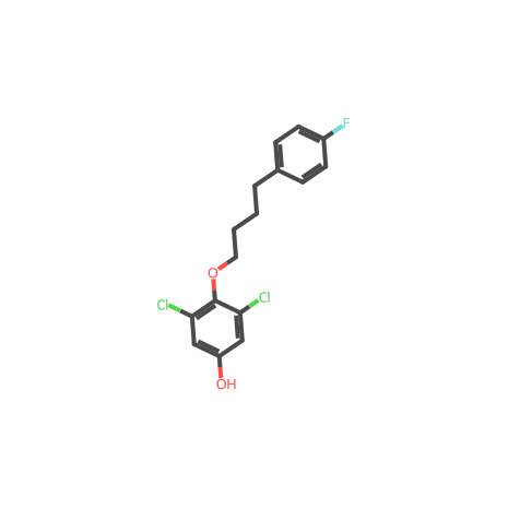 Oc1cc(Cl)c(OCCCCc2ccc(F)cc2)c(Cl)c1